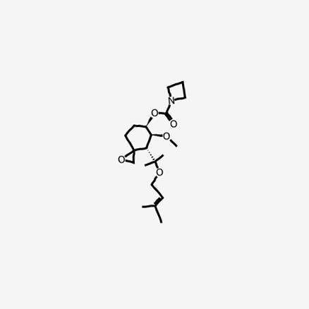 CO[C@H]1[C@H](C(C)(C)OCC=C(C)C)C2(CC[C@H]1OC(=O)N1CCC1)CO2